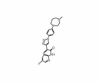 CN1CCCN(c2ccc(-n3cc(-c4cc5cc(F)cnc5[nH]c4=O)nn3)cc2)CC1